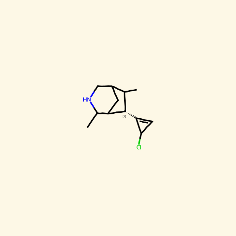 CC1NCC2CC1[C@@H](C1=CC1Cl)C2C